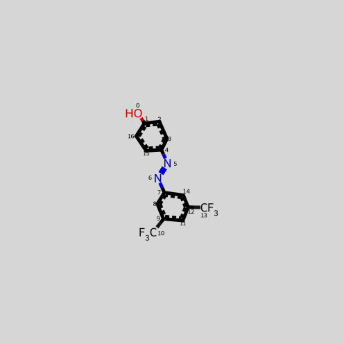 Oc1ccc(N=Nc2cc(C(F)(F)F)cc(C(F)(F)F)c2)cc1